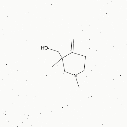 C=C1CCN(C)CC1(C)CO